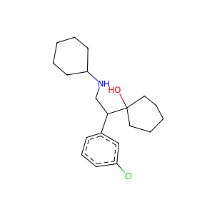 OC1(C(CNC2CCCCC2)c2cccc(Cl)c2)CCCCC1